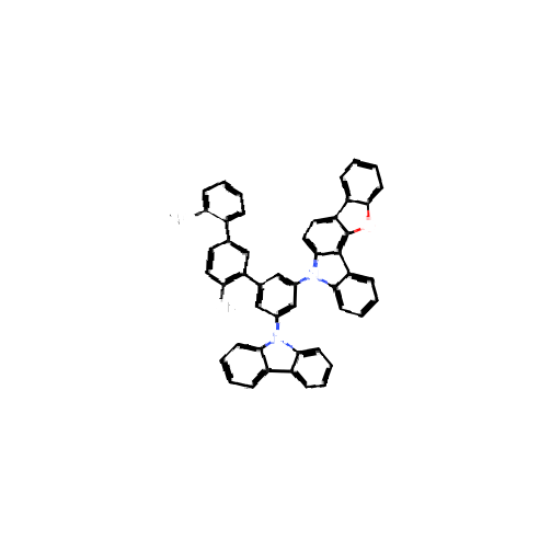 N#Cc1ccccc1-c1ccc(C#N)c(-c2cc(-n3c4ccccc4c4ccccc43)cc(-n3c4ccccc4c4c5oc6ccccc6c5ccc43)c2)c1